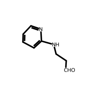 O=CCCNc1ccccn1